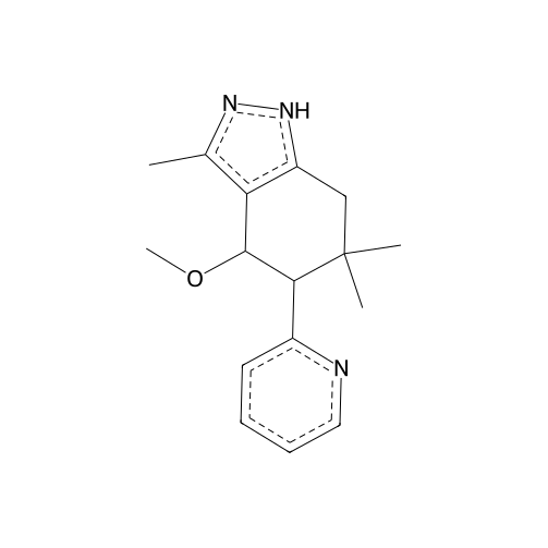 COC1c2c(C)n[nH]c2CC(C)(C)C1c1ccccn1